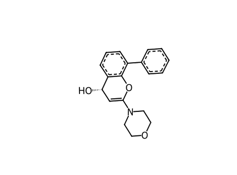 O[C@H]1C=C(N2CCOCC2)Oc2c(-c3ccccc3)cccc21